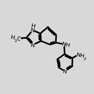 Cc1nc2cc(Nc3ccncc3N)ccc2[nH]1